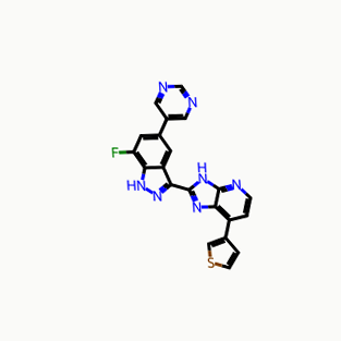 Fc1cc(-c2cncnc2)cc2c(-c3nc4c(-c5ccsc5)ccnc4[nH]3)n[nH]c12